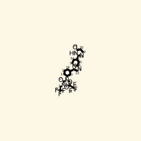 O=C(NCC(F)(F)F)N(OC(=O)C(F)(F)F)c1cccc(-c2cnc3cc(-c4nccc(=O)[nH]4)ccn23)c1